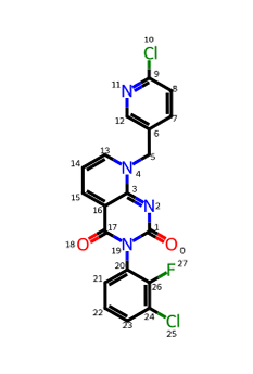 O=c1nc2n(Cc3ccc(Cl)nc3)cccc-2c(=O)n1-c1cccc(Cl)c1F